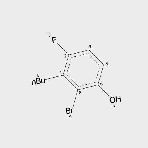 CCCCc1c(F)ccc(O)c1Br